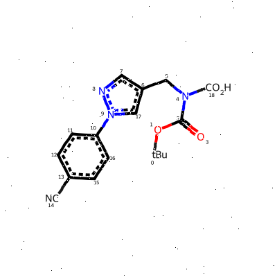 CC(C)(C)OC(=O)N(Cc1cnn(-c2ccc(C#N)cc2)c1)C(=O)O